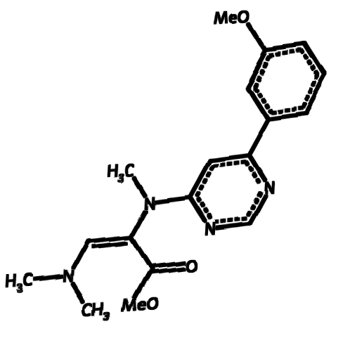 COC(=O)C(=CN(C)C)N(C)c1cc(-c2cccc(OC)c2)ncn1